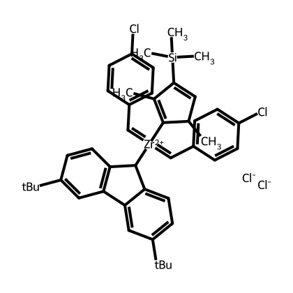 CC1=[C]([Zr+2](=[CH]c2ccc(Cl)cc2)(=[CH]c2ccc(Cl)cc2)[CH]2c3ccc(C(C)(C)C)cc3-c3cc(C(C)(C)C)ccc32)C(C)C=C1[Si](C)(C)C.[Cl-].[Cl-]